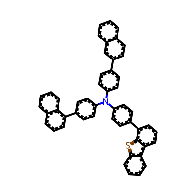 c1ccc2cc(-c3ccc(N(c4ccc(-c5cccc6ccccc56)cc4)c4ccc(-c5cccc6c5sc5ccccc56)cc4)cc3)ccc2c1